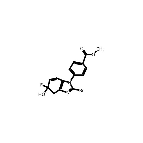 COC(=O)c1ccc(-n2c(Br)nc3c2C=CC(O)(F)C3)cc1